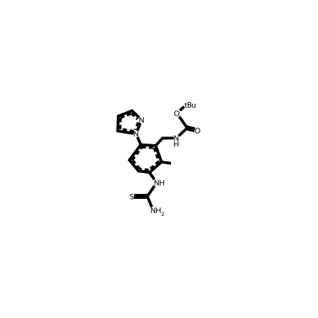 Cc1c(NC(N)=S)ccc(-n2cccn2)c1CNC(=O)OC(C)(C)C